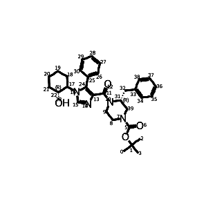 CC(C)(C)OC(=O)N1CCN(C(=O)c2ncn(C3CCCC[C@H]3O)c2-c2ccccc2)[C@H](Cc2ccccc2)C1